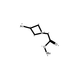 CC(=O)C1CN(CC(=O)OC(C)(C)C)C1